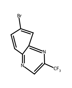 FC(F)(F)c1cnc2ccc(Br)cc2n1